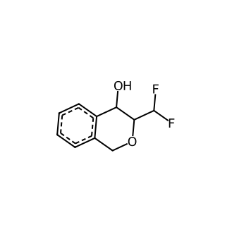 OC1c2ccccc2COC1C(F)F